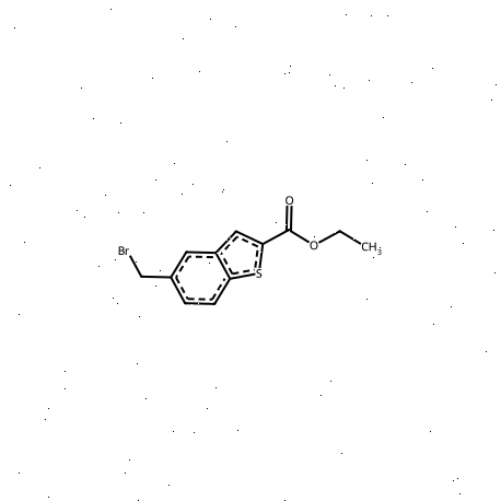 CCOC(=O)c1cc2cc(CBr)ccc2s1